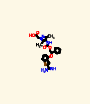 Cc1nn(CC(=O)O)c(C)c1NC(=O)OCC(Oc1cccc2sc(C(=N)N)cc12)c1ccccc1